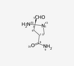 CN(C)[C@](N)(C=O)CCC(N)=O